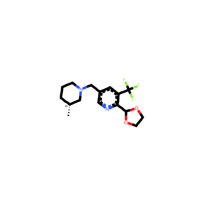 C[C@@H]1CCCN(Cc2cnc(C3OCCO3)c(C(F)(F)F)c2)C1